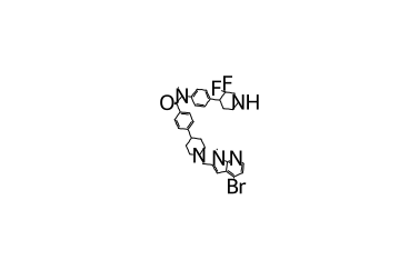 CN(C(=O)c1ccc(C2CCN(Cc3cc4c(Br)ccnc4n3C)CC2)cc1)c1ccc(C2CCNCC2(F)F)cc1